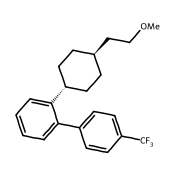 COCC[C@H]1CC[C@H](c2ccccc2-c2ccc(C(F)(F)F)cc2)CC1